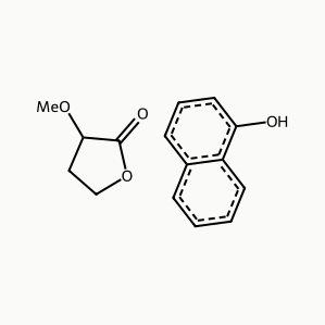 COC1CCOC1=O.Oc1cccc2ccccc12